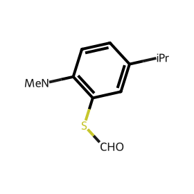 CNc1ccc(C(C)C)cc1SC=O